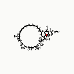 C=CCOC(=O)NC1C(O)C(C)OC(OC2/C=C/C=C/C=C/C=C/C=C/C=C/C=C/C(C)C(O)C(C)C(C)OC(=O)CC(O)CC(O)CCC(O)C(O)CC(O)CC3(O)CC(O)C(CO)C(C2)O3)C1O